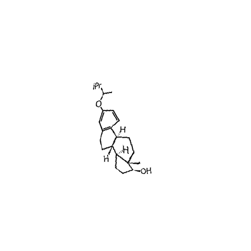 CC(C)C(C)Oc1ccc2c(c1)CC[C@@H]1[C@@H]2CC[C@]2(C)[C@@H](O)CC[C@@H]12